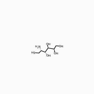 N[C@@H](CS)[C@@H](O)[C@@H](O)[C@H](O)CO